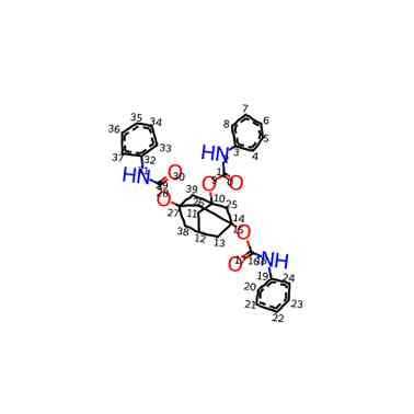 O=C(Nc1ccccc1)OC12CC3CC(OC(=O)Nc4ccccc4)(C1)CC(OC(=O)Nc1ccccc1)(C3)C2